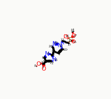 COC(=O)c1cnc(-c2cc[n+](CCS(=O)(=O)OC)nc2)nc1